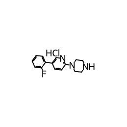 Cl.Fc1ccccc1-c1ccc(N2CCNCC2)nc1